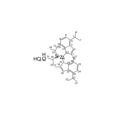 CC1=Cc2c(C(C)C)ccc(C)c2[CH]1[Zr]([CH]1C(C)=Cc2c(C(C)C)ccc(C)c21)=[Si](C(C)C)C(C)C.Cl.Cl